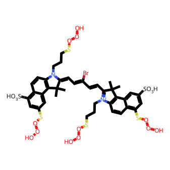 CC1(C)C(/C=C/C(Br)=C/C=C2/N(CCCSOOO)c3ccc4c(S(=O)(=O)O)cc(SOOO)cc4c3C2(C)C)=[N+](CCCSOOO)c2ccc3c(SOOO)cc(S(=O)(=O)O)cc3c21